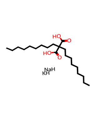 CCCCCCCCCC(CCCCCCCCC)(C(=O)O)C(=O)O.[KH].[NaH]